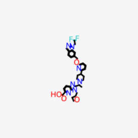 CC(c1nc2ccc(C(=O)O)nc2n1CC1CCO1)N1CCC(c2cccc(OCc3ccc4cnn(CC(F)F)c4c3)n2)CC1